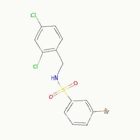 O=S(=O)(NCc1ccc(Cl)cc1Cl)c1cccc(Br)c1